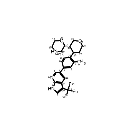 Cc1cc(-c2cnc3[nH]cc(C(F)(F)F)c3c2)cc([C@H]2COCCN2)c1C1CCOCC1